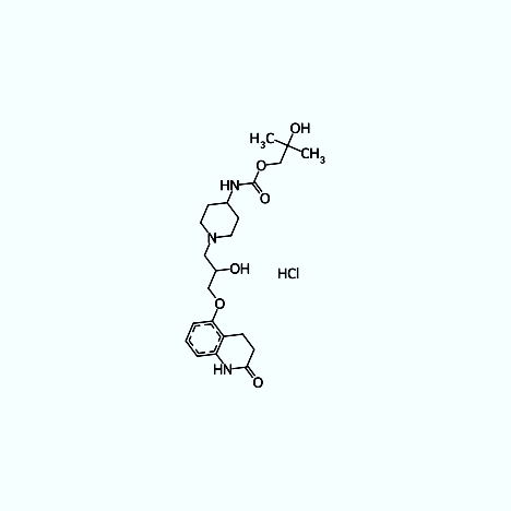 CC(C)(O)COC(=O)NC1CCN(CC(O)COc2cccc3c2CCC(=O)N3)CC1.Cl